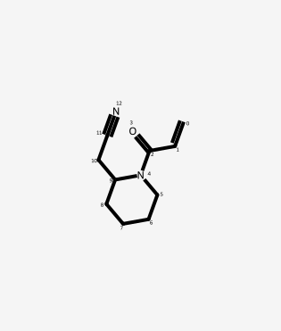 C=CC(=O)N1CCCCC1CC#N